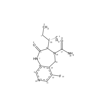 CC[C@H](C)C1C(=O)Nc2cncc(F)c2CN1C(N)=O